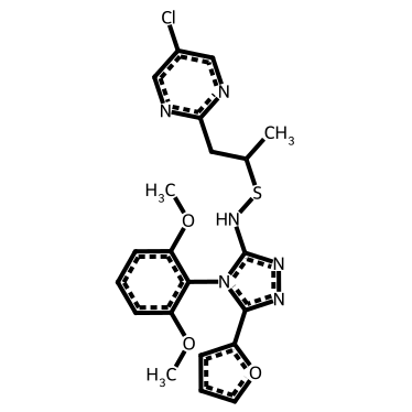 COc1cccc(OC)c1-n1c(NSC(C)Cc2ncc(Cl)cn2)nnc1-c1ccco1